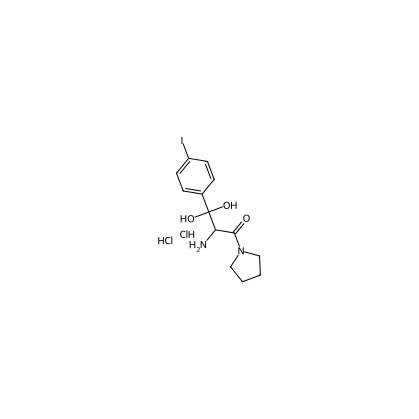 Cl.Cl.NC(C(=O)N1CCCC1)C(O)(O)c1ccc(I)cc1